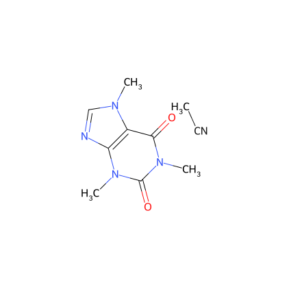 CC#N.Cn1c(=O)c2c(ncn2C)n(C)c1=O